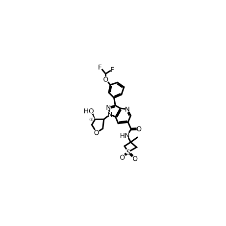 CC1(NC(=O)c2cnc3c(-c4cccc(OC(F)F)c4)nn(C4COC[C@H]4O)c3c2)CS(=O)(=O)C1